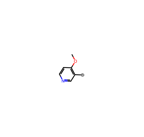 [B]c1cnccc1OC